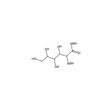 CNC(=O)C(NC)C(O)C(O)C(O)CO